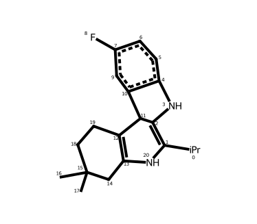 CC(C)C1=C2Nc3ccc(F)cc3C2C2=C(CC(C)(C)CC2)N1